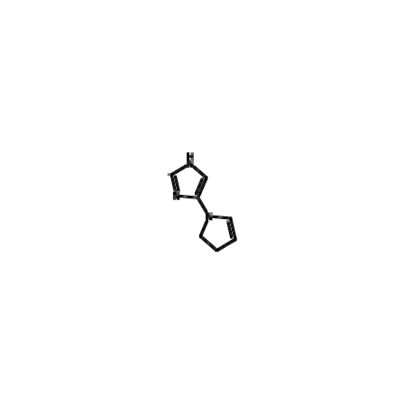 [c]1nc(N2C=CCC2)c[nH]1